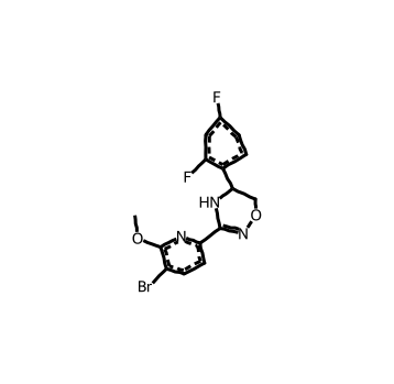 COc1nc(C2=NOCC(c3ccc(F)cc3F)N2)ccc1Br